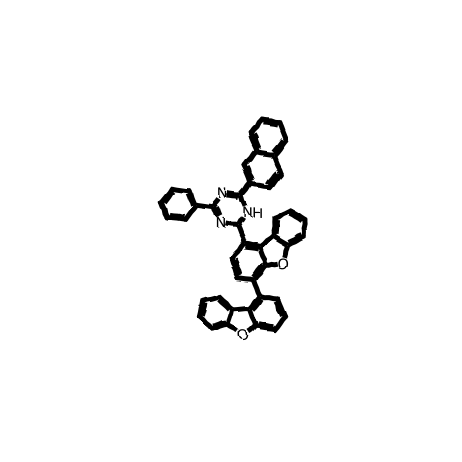 c1ccc(C2=NC(c3ccc(-c4cccc5oc6ccccc6c45)c4oc5ccccc5c34)NC(c3ccc4ccccc4c3)=N2)cc1